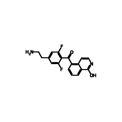 NCCc1cc(F)c(C(=O)c2cccc3c(O)nccc23)c(F)c1